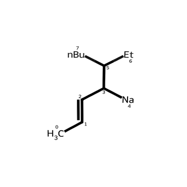 CC=C[CH]([Na])C(CC)CCCC